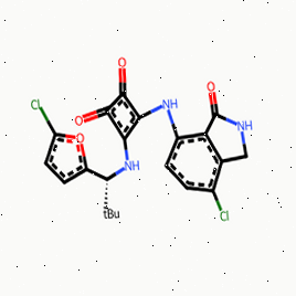 CC(C)(C)[C@@H](Nc1c(Nc2ccc(Cl)c3c2C(=O)NC3)c(=O)c1=O)c1ccc(Cl)o1